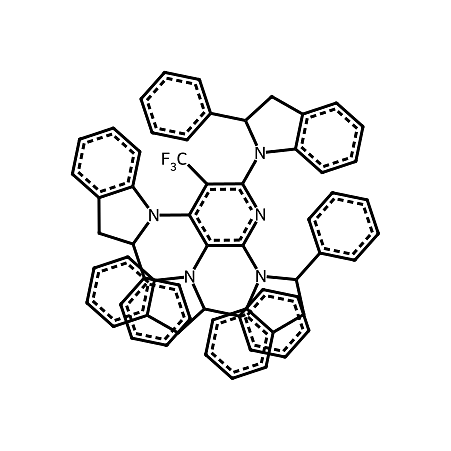 FC(F)(F)c1c(N2c3ccccc3CC2c2ccccc2)nc(N2c3ccccc3CC2c2ccccc2)c(N2c3ccccc3CC2c2ccccc2)c1N1c2ccccc2CC1c1ccccc1